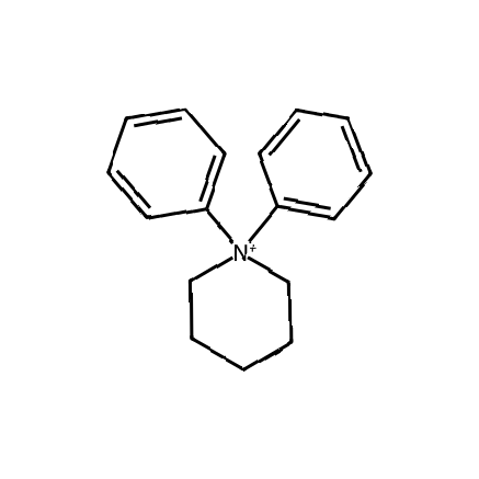 c1ccc([N+]2(c3ccccc3)CCCCC2)cc1